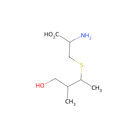 CC(CO)C(C)SCC(N)C(=O)O